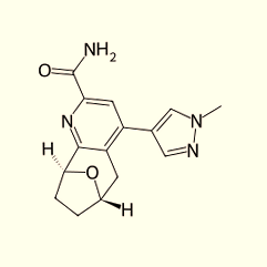 Cn1cc(-c2cc(C(N)=O)nc3c2C[C@@H]2CC[C@@H]3O2)cn1